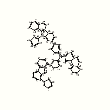 c1ccc(-c2cccc3c2oc2c(-c4cccc(N(c5ccc(-c6ccc7c8ccc9ccccc9c8n(-c8ccccc8)c7c6)cc5)c5ccc6ccc7ccccc7c6c5)c4)cccc23)cc1